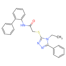 CCn1c(SCC(=O)Nc2ccccc2-c2ccccc2)nnc1-c1ccccc1